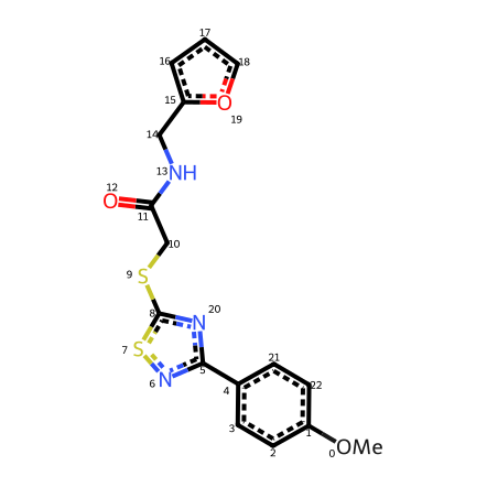 COc1ccc(-c2nsc(SCC(=O)NCc3ccco3)n2)cc1